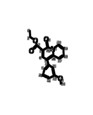 CCOC(=O)c1cc(-c2cccc(OC)c2)c2ccccn2c1=O